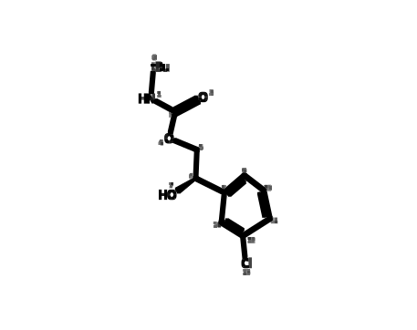 CC(C)(C)NC(=O)OC[C@H](O)c1cccc(Cl)c1